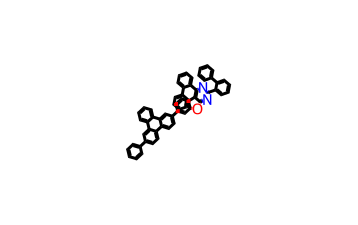 c1ccc(-c2ccc3c4ccc(-c5ccc6c(c5)oc5nc(-c7ccccc7-c7ccccc7)nc(-c7ccccc7-c7ccccc7)c56)cc4c4ccccc4c3c2)cc1